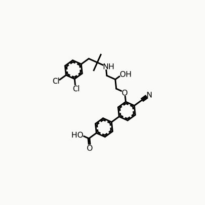 CC(C)(Cc1ccc(Cl)c(Cl)c1)NCC(O)COc1cc(-c2ccc(C(=O)O)cc2)ccc1C#N